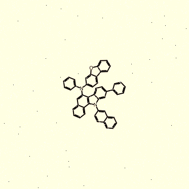 c1ccc(-c2ccc3c4c(N(c5ccccc5)c5ccc6c(c5)oc5ccccc56)cc5ccccc5c4n(-c4ccc5ccccc5c4)c3c2)cc1